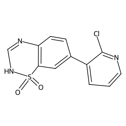 O=S1(=O)NC=Nc2ccc(-c3cccnc3Cl)cc21